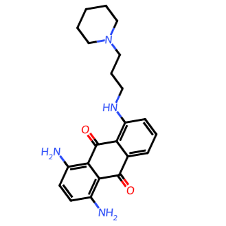 Nc1ccc(N)c2c1C(=O)c1cccc(NCCCN3CCCCC3)c1C2=O